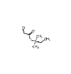 CC[Si](C)(C)OC(=O)CCl